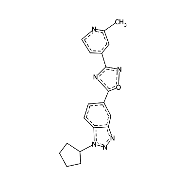 Cc1cc(-c2noc(-c3ccc4c(c3)nnn4C3CCCC3)n2)ccn1